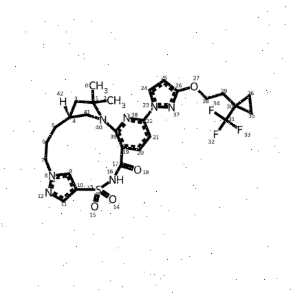 CC1(C)C[C@H]2CCCn3cc(cn3)S(=O)(=O)NC(=O)c3ccc(-n4ccc(OCCC5(C(F)(F)F)CC5)n4)nc3N1C2